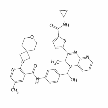 Cc1cnc(N2CC3(CCOCC3)C2)c(C(=O)Nc2ccc(C(O)N3c4cccnc4N=C(c4ccc(C(=O)NC5CC5)s4)[C@H]3C)cc2)c1